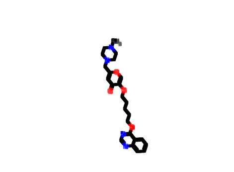 CN1CCN(Cc2cc(=O)c(OCCCCCOc3ncnc4ccccc34)co2)CC1